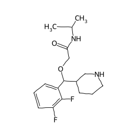 CC(C)NC(=O)COC(c1cccc(F)c1F)C1CCCNC1